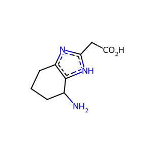 NC1CCCc2nc(CC(=O)O)[nH]c21